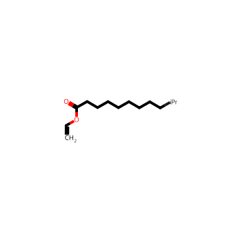 C=COC(=O)CCCCCCCCC(C)C